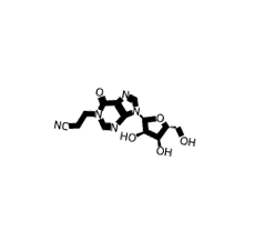 N#CCCn1cnc2c(ncn2[C@@H]2O[C@H](CO)[C@@H](O)[C@H]2O)c1=O